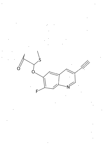 C#Cc1cnc2cc(F)c(OC(SC)C(C)=O)cc2c1